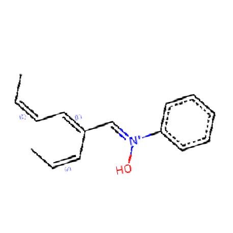 C\C=C/C=C(C=[N+](O)c1ccccc1)\C=C/C